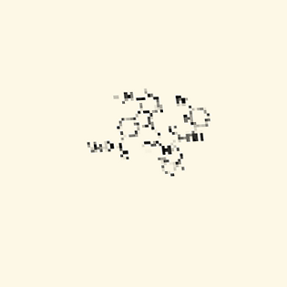 COC(=O)c1ccc2c3c(N)ncnc3n(CC(=O)N3[C@H](C(=O)Nc4cccc(Br)n4)C[C@@]4(C)CC[C@@H]34)c2c1